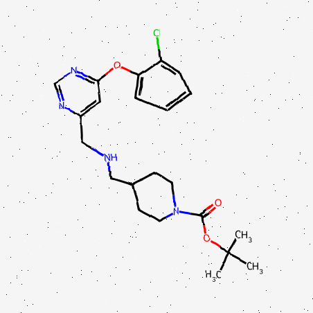 CC(C)(C)OC(=O)N1CCC(CNCc2cc(Oc3ccccc3Cl)ncn2)CC1